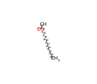 C#CC(=O)OCCCCCCCCCCCCCCCC